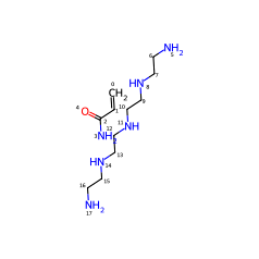 C=CC(N)=O.NCCNCCNCCNCCN